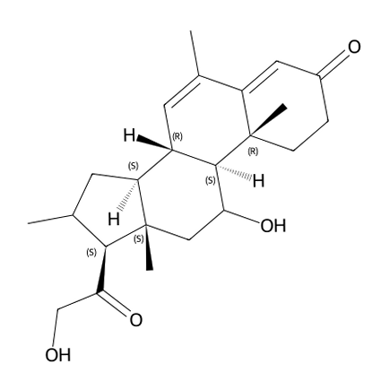 CC1=C[C@H]2[C@@H]3CC(C)[C@H](C(=O)CO)[C@@]3(C)CC(O)[C@@H]2[C@@]2(C)CCC(=O)C=C12